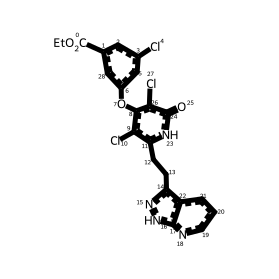 CCOC(=O)c1cc(Cl)cc(Oc2c(Cl)c(CCc3n[nH]c4ncccc34)[nH]c(=O)c2Cl)c1